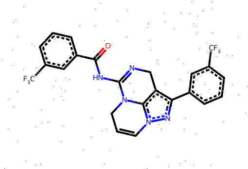 O=C(NC1=NCc2c(-c3cccc(C(F)(F)F)c3)nn3c2N1CC=C3)c1cccc(C(F)(F)F)c1